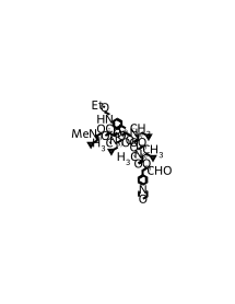 CCOCCNc1ccc(C[C@@H](OC(=O)[C@H](CC2CC2)N(C)C(=O)[C@@H](C)OC(=O)[C@H](CC2CC2)NC)C(=O)N(C)[C@@H](CC2CC2)C(=O)O[C@H](C)C(=O)N(C)[C@@H](CC2CC2)C(=O)O[C@@H](C=O)Cc2ccc(N3CCOCC3)cc2)cc1